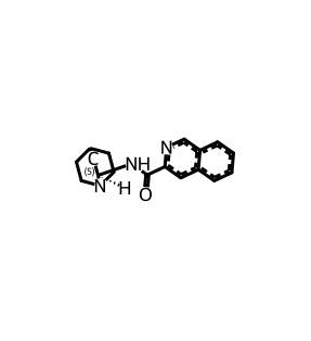 O=C(N[C@@H]1CC2CCN1CC2)c1cc2ccccc2cn1